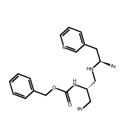 CC(=O)[C@H](Cc1cccnc1)NC[C@H](CC(C)C)NC(=O)OCc1ccccc1